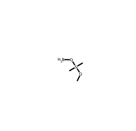 BO[Si](C)(C)OC